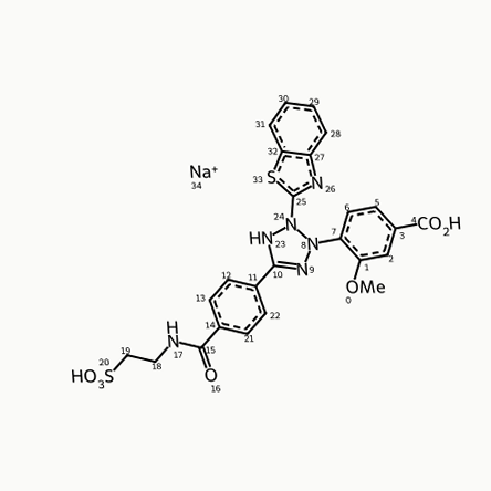 COc1cc(C(=O)O)ccc1N1N=C(c2ccc(C(=O)NCCS(=O)(=O)O)cc2)NN1c1nc2ccccc2s1.[Na+]